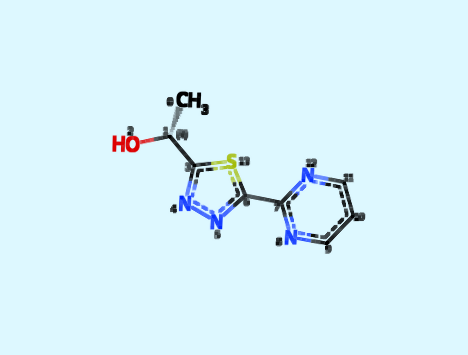 C[C@@H](O)c1nnc(-c2ncccn2)s1